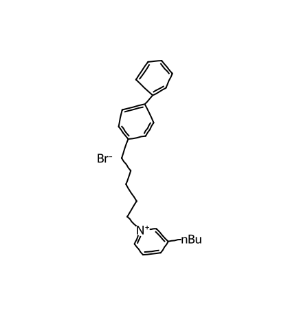 CCCCc1ccc[n+](CCCCCc2ccc(-c3ccccc3)cc2)c1.[Br-]